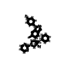 Cc1cc2c(cnn2-c2ccc(F)cc2)cc1[C@@]12CN(c3ncccn3)C[C@@H]1[C@H]2c1ccccc1